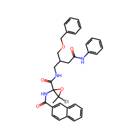 CCC1(C)OC1(NC(=O)c1ccc2ccccc2c1)C(=O)NCC(COCc1ccccc1)CC(=O)Nc1ccccc1